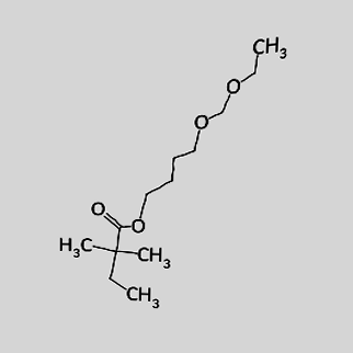 CCOCOCCCCOC(=O)C(C)(C)CC